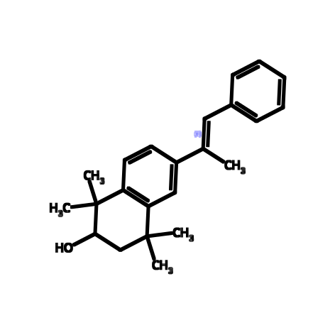 C/C(=C\c1ccccc1)c1ccc2c(c1)C(C)(C)CC(O)C2(C)C